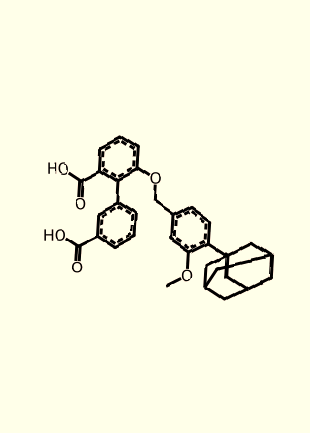 COc1cc(COc2cccc(C(=O)O)c2-c2cccc(C(=O)O)c2)ccc1C12CC3CC(CC(C3)C1)C2